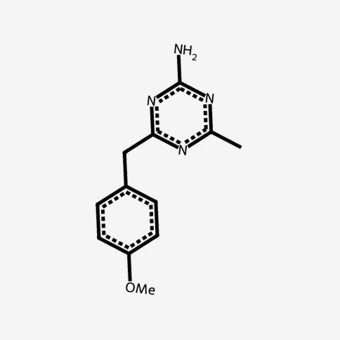 COc1ccc(Cc2nc(C)nc(N)n2)cc1